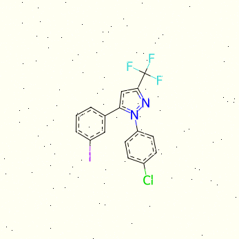 FC(F)(F)c1cc(-c2cccc(I)c2)n(-c2ccc(Cl)cc2)n1